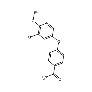 CC(C)Oc1ncc(Oc2ccc(C(N)=O)cc2)cc1Cl